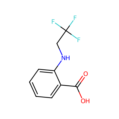 O=C(O)c1ccccc1NCC(F)(F)F